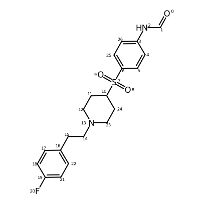 O=CNc1ccc(S(=O)(=O)C2CCN(CCc3ccc(F)cc3)CC2)cc1